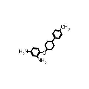 Cc1ccc(C2CCC(Oc3ccc(N)cc3N)CC2)cc1